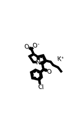 CCCCc1cc2n(c1C(=O)c1cccc(Cl)c1)CCC2C(=O)[O-].[K+]